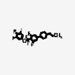 CCCC1=CC=C(c2cc(F)c(C(F)(F)Oc3cc(I)c(F)c(I)c3)c(F)c2)CC1